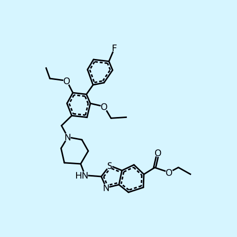 CCOC(=O)c1ccc2nc(NC3CCN(Cc4cc(OCC)c(-c5ccc(F)cc5)c(OCC)c4)CC3)sc2c1